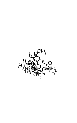 COc1cc(/C=C/C(=O)O)c(C(CC(C)C)[Si](C)(O[Si](C)(C)C)O[Si](C)(C)C)c(OC)c1OC